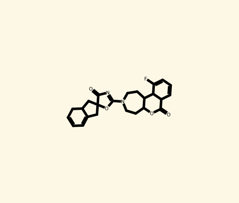 O=C1OC2CCN(C3=NC(=O)C4(CC5=CC=CCC5C4)O3)CCC2C2C(F)=CC=CC12